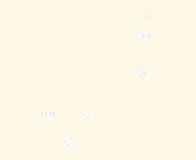 CCCCNC(=O)C(N)CCCNC(=N)N